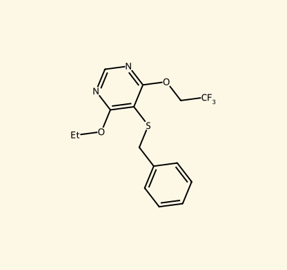 CCOc1ncnc(OCC(F)(F)F)c1SCc1ccccc1